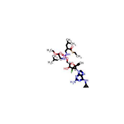 C#CC12O[C@H](COP(=O)(NCC(CC(C)C)C(=O)SCC)N[C@H](CC(C)C)C(=O)OCC)C(O)C1(F)[C@@H]2n1cnc2c(NC3CC3)nc(N)nc21